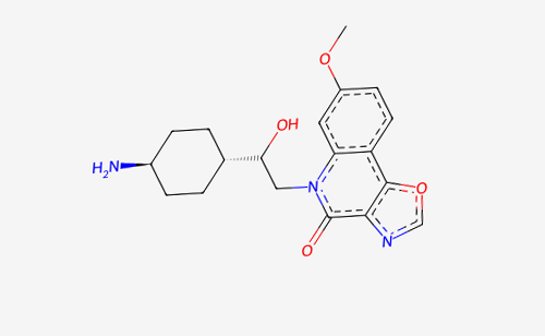 COc1ccc2c3ocnc3c(=O)n(CC(O)[C@H]3CC[C@H](N)CC3)c2c1